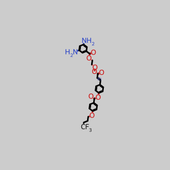 Nc1cc(N)cc(C(=O)OCCOOC(=O)/C=C/c2ccc(OC(=O)c3ccc(OCCCC(F)(F)F)cc3)cc2)c1